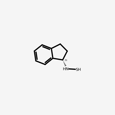 SN[C@H]1CCc2ccccc21